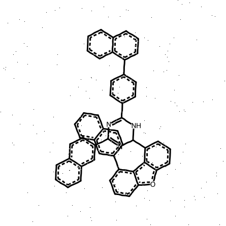 c1ccc2cc(C3=NC(c4cccc5oc6cccc(-c7ccc8ccccc8c7)c6c45)NC(c4ccc(-c5cccc6ccccc56)cc4)=N3)ccc2c1